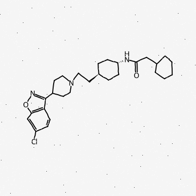 O=C(CC1CCCCC1)N[C@H]1CC[C@H](CCN2CCC(c3noc4cc(Cl)ccc34)CC2)CC1